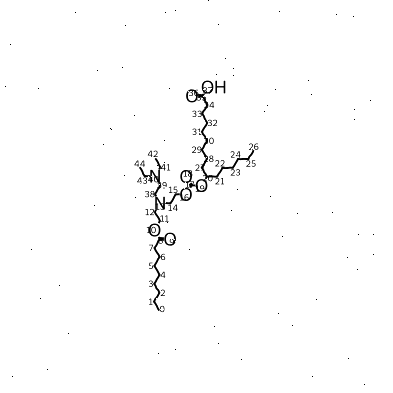 CCCCCCCCC(=O)OCCN(CCOC(=O)OC(CCCCCC)CCCCCCCCC(=O)O)CCN(CC)CC